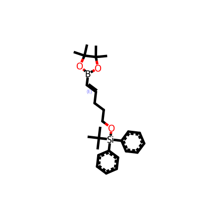 CC1(C)OB(/C=C/CCCO[Si](c2ccccc2)(c2ccccc2)C(C)(C)C)OC1(C)C